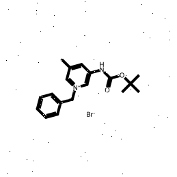 Cc1cc(NC(=O)OC(C)(C)C)c[n+](Cc2ccccc2)c1.[Br-]